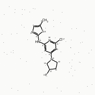 Cc1cnc(Nc2cc(N3CCC(F)C3)cc(Cl)n2)s1